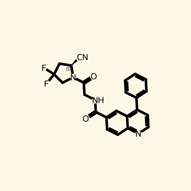 N#C[C@@H]1CC(F)(F)CN1C(=O)CNC(=O)c1ccc2nccc(-c3ccccc3)c2c1